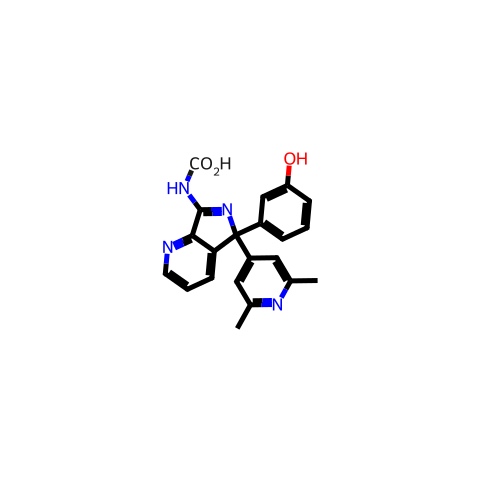 Cc1cc(C2(c3cccc(O)c3)N=C(NC(=O)O)c3ncccc32)cc(C)n1